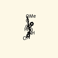 COCCOCCN1C(=O)C(NC(=O)c2cc3cc(Cl)ncc3[nH]2)Cc2ccccc21